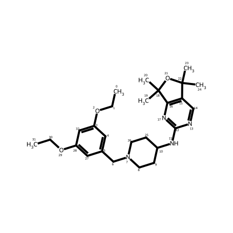 CCOc1cc(CN2CCC(Nc3ncc4c(n3)C(C)(C)OC4(C)C)CC2)cc(OCC)c1